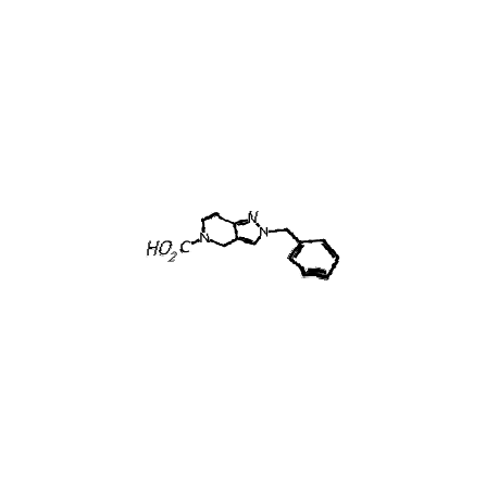 O=C(O)N1CCc2nn(Cc3ccccc3)cc2C1